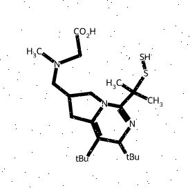 CN(CC(=O)O)CC1CC2=C(C(C)(C)C)C(C(C)(C)C)N=C(C(C)(C)SS)N2C1